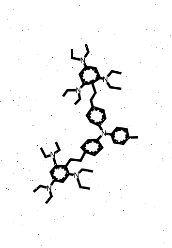 CCN(CC)c1cc(N(CC)CC)c(CCc2ccc(N(c3ccc(C)cc3)c3ccc(CCc4c(N(CC)CC)cc(N(CC)CC)cc4N(CC)CC)cc3)cc2)c(N(CC)CC)c1